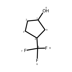 OC1CCC(C(F)(F)F)C1